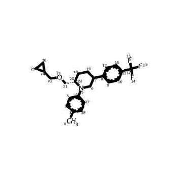 Cc1ccc(N2CC(c3ccc(C(F)(F)F)cc3)CC[C@H]2COCC2CC2)cc1